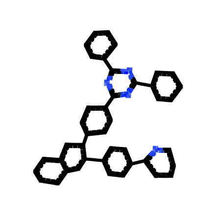 c1ccc(-c2nc(-c3ccccc3)nc(-c3ccc(-c4cc5ccccc5cc4-c4ccc(-c5ccccn5)cc4)cc3)n2)cc1